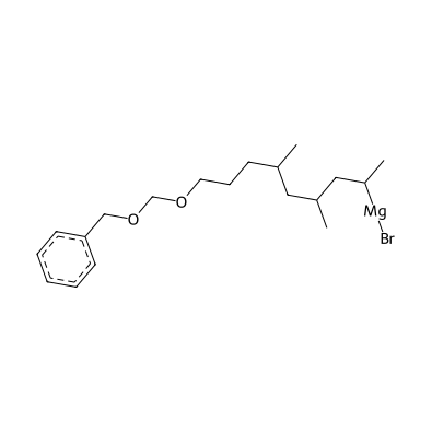 CC(CCCOCOCc1ccccc1)CC(C)C[CH](C)[Mg][Br]